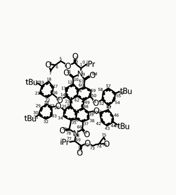 CC(C)C(C(=O)OCC1CO1)N1C(=O)c2cc(Oc3ccc(C(C)(C)C)cc3)c3c4c(Oc5ccc(C(C)(C)C)cc5)cc5c6c(cc(Oc7ccc(C(C)(C)C)cc7)c(c7c(Oc8ccc(C(C)(C)C)cc8)cc(c2c37)C1=O)c64)C(=O)N(C(C(=O)OCC1CO1)C(C)C)C5=O